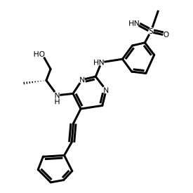 C[C@H](CO)Nc1nc(Nc2cccc(S(C)(=N)=O)c2)ncc1C#Cc1ccccc1